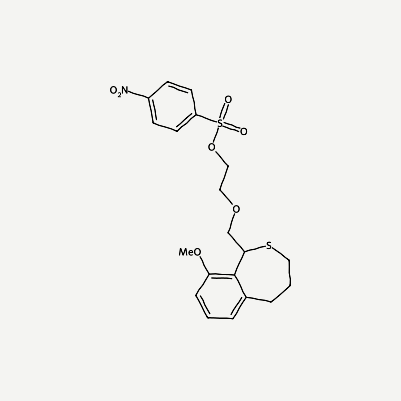 COc1cccc2c1C(COCCOS(=O)(=O)c1ccc([N+](=O)[O-])cc1)SCCC2